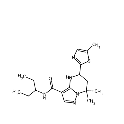 CCC(CC)NC(=O)c1cnn2c1NC(c1ncc(C)s1)CC2(C)C